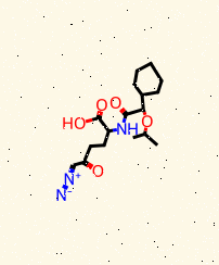 CC(C)OC(C(=O)NC(CCC(=O)C=[N+]=[N-])C(=O)O)C1CCCCC1